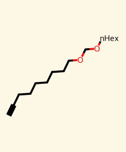 C#CCCCCCCCOCOCCCCCC